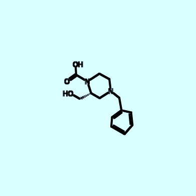 O=C(O)N1CCN(Cc2ccccc2)C[C@@H]1CO